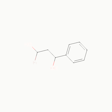 OC(Br)CC(O)c1ccccc1